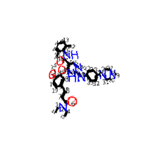 CCN(CC)C(=O)C=Cc1ccc(OC)c(Oc2nc(Nc3ccc(N4CCN(C)CC4)cc3)ncc2C(=O)Nc2c(C)cccc2C)c1